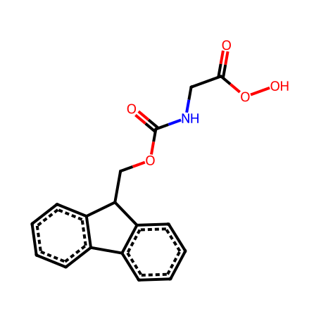 O=C(CNC(=O)OCC1c2ccccc2-c2ccccc21)OO